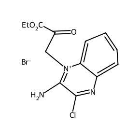 CCOC(=O)C(=O)C[n+]1c(N)c(Cl)nc2ccccc21.[Br-]